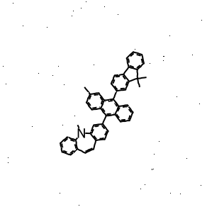 Cc1ccc2c(-c3ccc4c(c3)N(C)c3ccccc3C=C4)c3ccccc3c(-c3ccc4c(c3)C(C)(C)c3ccccc3-4)c2c1